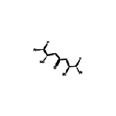 CC(C)[C@@H](F)[C@@H](O)CC(=O)C[C@H](O)[C@H](F)C(C)C